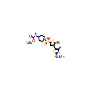 CC(=O)Nc1nc(C)c(-c2cc(S(=O)(=O)N3CCC(N(C)C(=O)OC(C)(C)C)CC3)sc2Br)s1